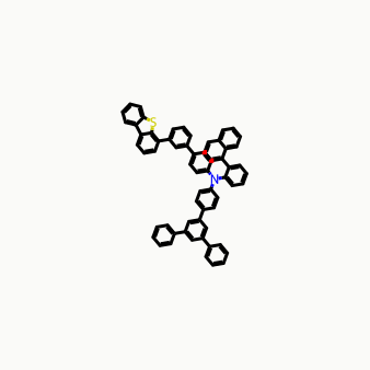 c1ccc(-c2cc(-c3ccccc3)cc(-c3ccc(N(c4ccc(-c5cccc(-c6cccc7c6sc6ccccc67)c5)cc4)c4ccccc4-c4cccc5ccccc45)cc3)c2)cc1